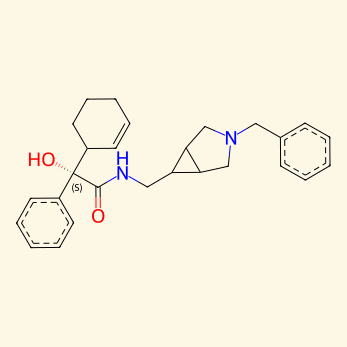 O=C(NCC1C2CN(Cc3ccccc3)CC12)[C@@](O)(c1ccccc1)C1C=CCCC1